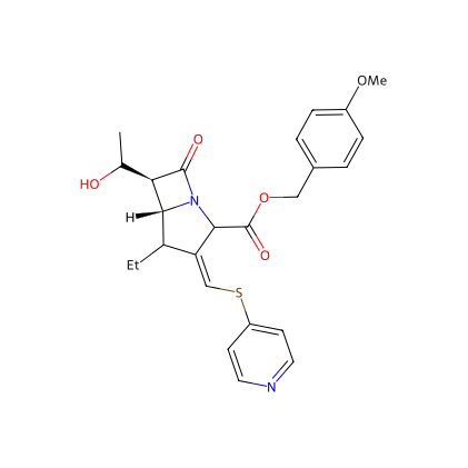 CCC1C(=CSc2ccncc2)C(C(=O)OCc2ccc(OC)cc2)N2C(=O)[C@H](C(C)O)[C@@H]12